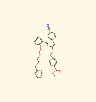 COC(=O)c1ccc(CCC(C=Cc2ccccc2OCCCCCc2ccccc2)Cc2ccc(C#N)cc2)cc1